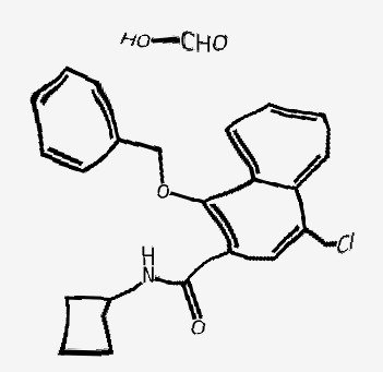 O=C(NC1CCC1)c1cc(Cl)c2ccccc2c1OCc1ccccc1.O=CO